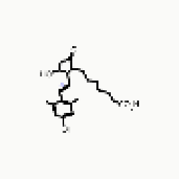 Cc1cc(O)cc(C)c1/C=C/C1C(O)CC(=O)C1CCCCCCC(=O)O